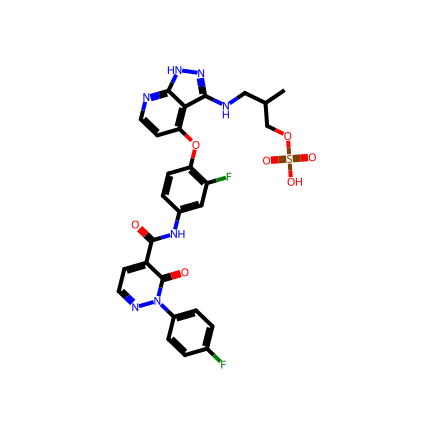 CC(CNc1n[nH]c2nccc(Oc3ccc(NC(=O)c4ccnn(-c5ccc(F)cc5)c4=O)cc3F)c12)COS(=O)(=O)O